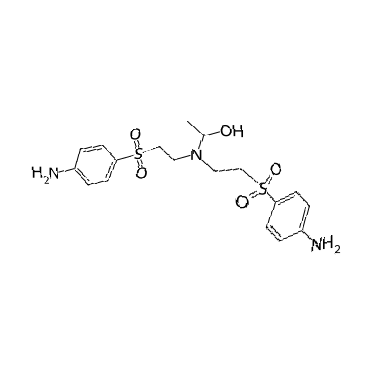 CC(O)N(CCS(=O)(=O)c1ccc(N)cc1)CCS(=O)(=O)c1ccc(N)cc1